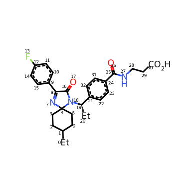 CCC1CCC2(CC1)N=C(c1ccc(F)cc1)C(=O)N2[C@H](CC)c1ccc(C(=O)NCCC(=O)O)cc1